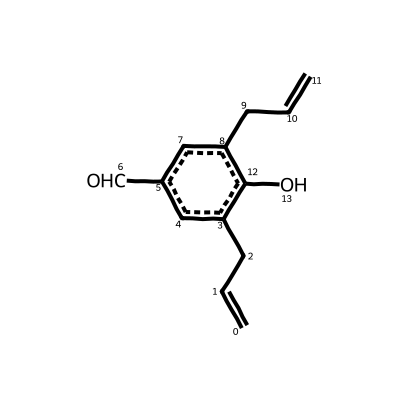 C=CCc1cc(C=O)cc(CC=C)c1O